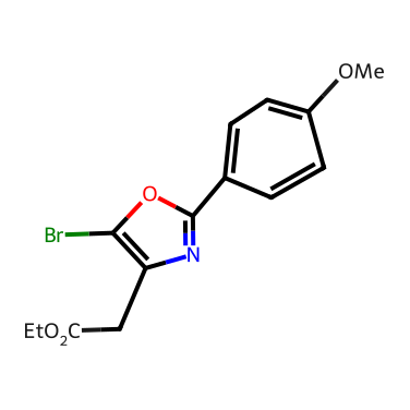 CCOC(=O)Cc1nc(-c2ccc(OC)cc2)oc1Br